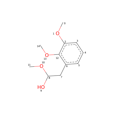 COc1cccc(CC(O)OC)c1OC